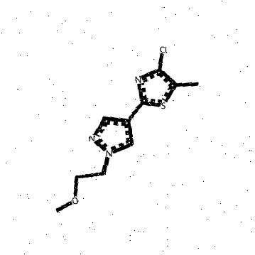 COCCn1cc(-c2nc(Cl)c(C)s2)cn1